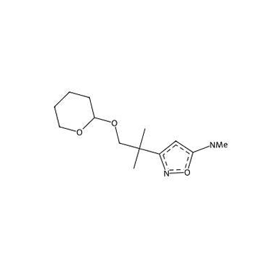 CNc1cc(C(C)(C)COC2CCCCO2)no1